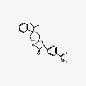 CN(C)[C@]1(c2ccccc2)CC[C@]2(CC1)CN(c1ccc(C(N)=O)cn1)C(=O)N2